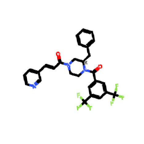 O=C(C=Cc1cccnc1)N1CCN(C(=O)c2cc(C(F)(F)F)cc(C(F)(F)F)c2)[C@H](Cc2ccccc2)C1